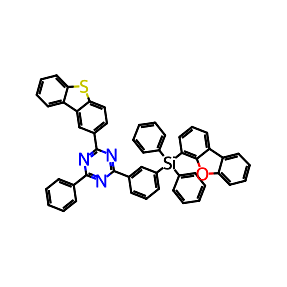 c1ccc(-c2nc(-c3cccc([Si](c4ccccc4)(c4ccccc4)c4cccc5c4oc4ccccc45)c3)nc(-c3ccc4sc5ccccc5c4c3)n2)cc1